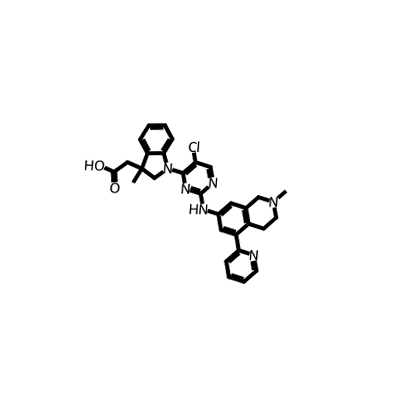 CN1CCc2c(cc(Nc3ncc(Cl)c(N4CC(C)(CC(=O)O)c5ccccc54)n3)cc2-c2ccccn2)C1